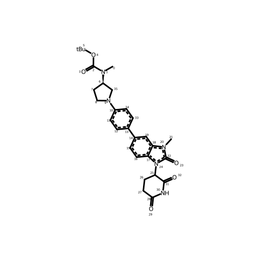 CN(C(=O)OC(C)(C)C)[C@@H]1CCN(c2ccc(-c3ccc4c(c3)n(C)c(=O)n4C3CCC(=O)NC3=O)cc2)C1